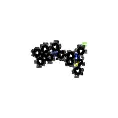 Fc1ccc(N(c2ccc(-c3ccccc3)s2)c2ccc(-c3ccc4c(c3)c3ccccc3n4-c3ccc4c(c3)C(c3ccccc3)(c3ccccc3)c3ccccc3-4)c3ccccc23)cc1